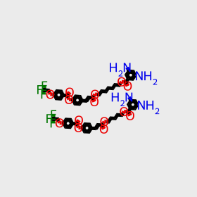 Nc1cc(N)cc(C(=O)OCCCCCCCOC(=O)C=Cc2ccc(OC(=O)c3ccc(OCC(F)(F)F)cc3)cc2)c1.Nc1cc(N)cc(C(=O)OCCCCCOC(=O)C=Cc2ccc(OC(=O)c3ccc(OCC(F)(F)F)cc3)cc2)c1